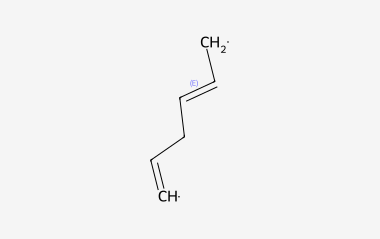 [CH]=CC/C=C/[CH2]